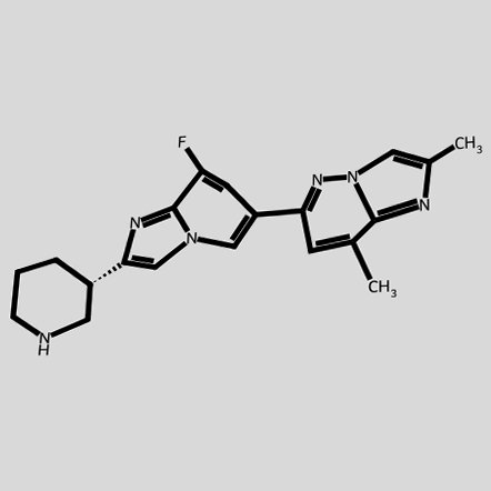 Cc1cn2nc(-c3cc(F)c4nc([C@H]5CCCNC5)cn4c3)cc(C)c2n1